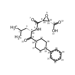 CC(C)C[C@H](NC(=O)[C@H]1O[C@@H]1C(=O)O)C(=O)N1CCN(c2ccccc2)CC1